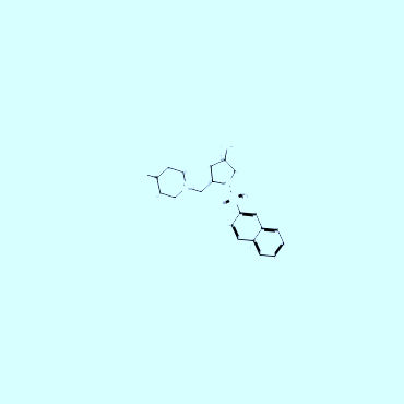 CCOC(=O)C1CCN(CC2CC(S)CN2S(=O)(=O)c2ccc3ccccc3c2)CC1